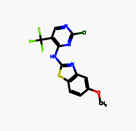 COc1ccc2sc(Nc3nc(Cl)ncc3C(F)(F)F)nc2c1